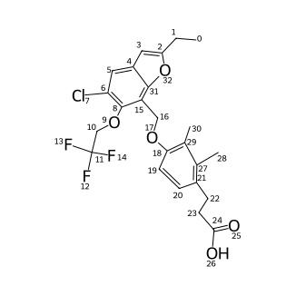 CCc1cc2cc(Cl)c(OCC(F)(F)F)c(COc3ccc(CCC(=O)O)c(C)c3C)c2o1